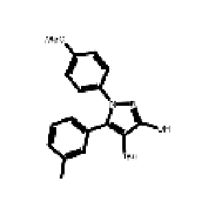 COc1ccc(-n2nc(O)c(C(C)(C)C)c2-c2cccc(C)c2)cc1